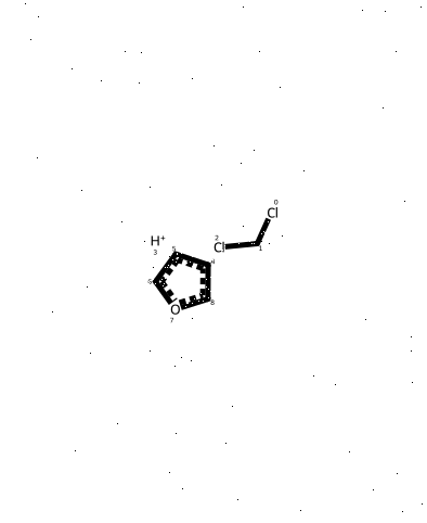 ClCCl.[H+].c1ccoc1